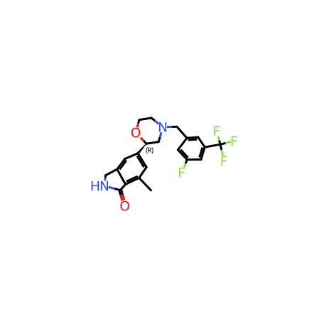 Cc1cc([C@@H]2CN(Cc3cc(F)cc(C(F)(F)F)c3)CCO2)cc2c1C(=O)NC2